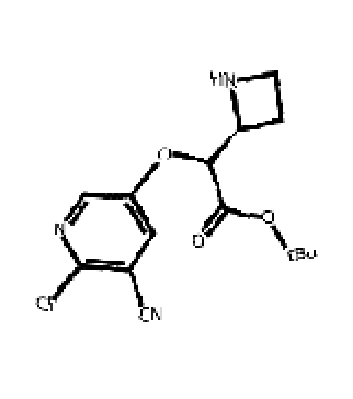 CC(C)(C)OC(=O)C(Oc1cnc(Cl)c(C#N)c1)[C@@H]1CCN1